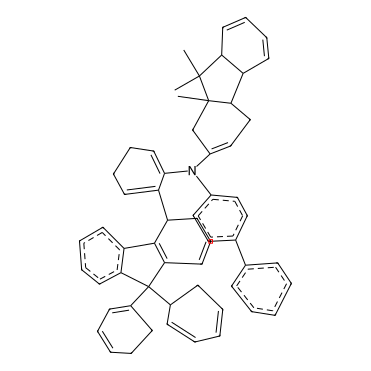 CC1(C)C2C=CC=CC2C2CC=C(N(C3=CCCC=C3C3CC=CC4=C3c3ccccc3C4(C3=CC=CCC3)C3C=CC=CC3)c3ccc(-c4ccccc4)cc3)CC21C